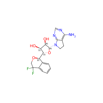 Nc1ncnc2c1CCN2[C@@H]1O[C@H]([C@@H]2OCC(F)(F)c3ccccc32)[C@@H](O)[C@H]1O